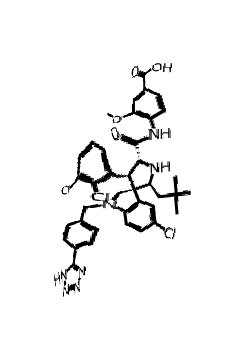 COc1cc(C(=O)O)ccc1NC(=O)[C@@H]1N[C@@H](CC(C)(C)C)[C@@]2(CN(Cc3ccc(-c4nnn[nH]4)cc3)c3ccc(Cl)cc32)[C@H]1c1cccc(Cl)c1Cl